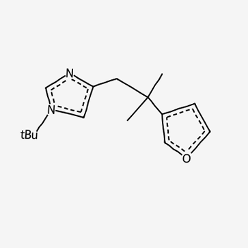 CC(C)(Cc1cn(C(C)(C)C)cn1)c1ccoc1